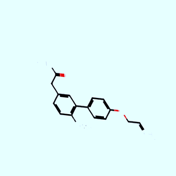 C=CCOc1ccc(-c2cc(CC(=O)C=O)ccc2OC)cc1